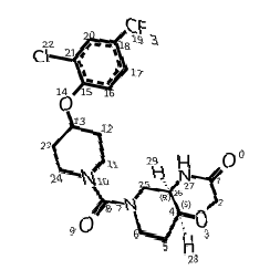 O=C1CO[C@H]2CCN(C(=O)N3CCC(Oc4ccc(C(F)(F)F)cc4Cl)CC3)C[C@H]2N1